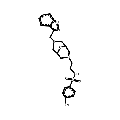 N#Cc1ccc(S(=O)(=O)NCCN2CC3CN(Cc4noc5ccccc45)CC(C2)O3)cc1